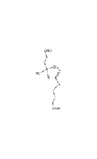 CCCCCCCCCCCCSC(=S)SC(C)(C#N)CC[C]=O